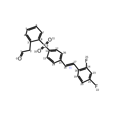 O=CCc1ccccc1S(=O)(=O)c1ccc(/C=C/c2ccc(F)cc2F)cc1